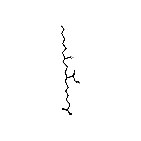 CCCCCCCC(O)CCCC(CCCCCCC(=O)O)C(N)=O